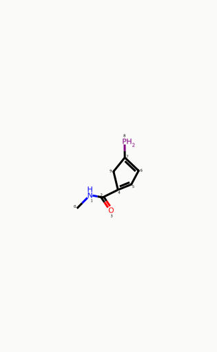 CNC(=O)C1=CC=C(P)C1